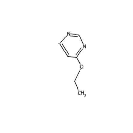 CCOc1c[c]ncn1